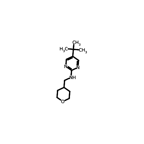 CC(C)(C)c1cnc(NCC2CCOCC2)nc1